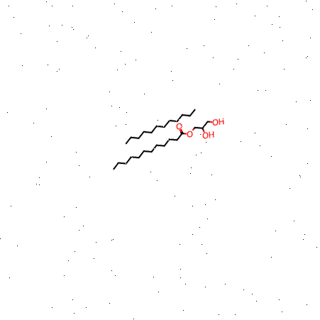 CCCCCCCCCCCC.CCCCCCCCCCCC(=O)OCC(O)CO